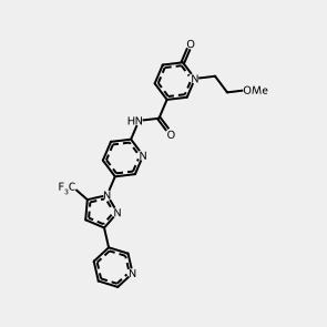 COCCn1cc(C(=O)Nc2ccc(-n3nc(-c4cccnc4)cc3C(F)(F)F)cn2)ccc1=O